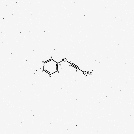 CC(=O)OC#COc1ccccc1